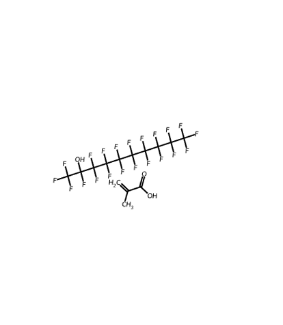 C=C(C)C(=O)O.OC(F)(C(F)(F)F)C(F)(F)C(F)(F)C(F)(F)C(F)(F)C(F)(F)C(F)(F)C(F)(F)C(F)(F)F